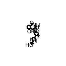 CC(C)(O)c1ncc(-c2cc3c(cc2F)nc2n3[C@@H]3C[C@H]2NC(=O)c2cccc(O)c23)cn1